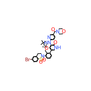 CC(C)(C)[Si](C)(C)OCc1c(-c2c[nH]c(=O)c(Nc3ccc(C(=O)N4CCOCC4)cn3)c2)cccc1N1CCc2cc(Br)ccc2S1(=O)=O